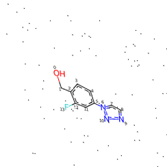 OCc1ccc(-n2ccnn2)cc1F